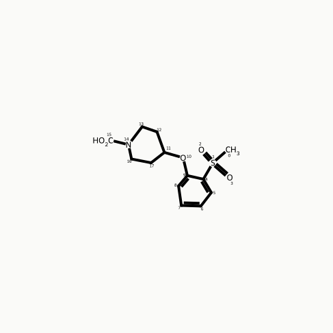 CS(=O)(=O)c1ccccc1OC1CCN(C(=O)O)CC1